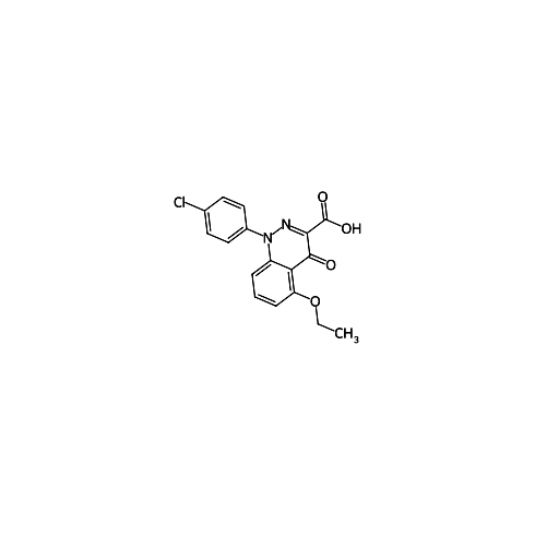 CCOc1cccc2c1c(=O)c(C(=O)O)nn2-c1ccc(Cl)cc1